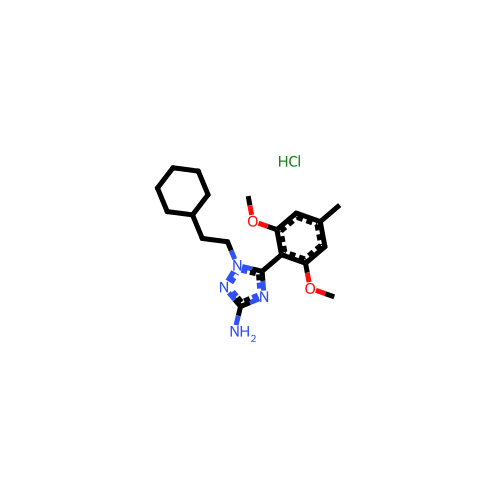 COc1cc(C)cc(OC)c1-c1nc(N)nn1CCC1CCCCC1.Cl